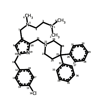 CN(C)CCN(C)Cc1cn(Cc2ccc(Cl)cc2)nc1CN1CCC(c2ccccc2)(c2ccccc2)CC1